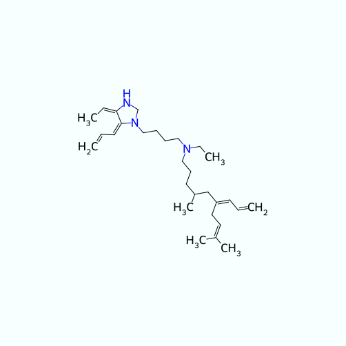 C=C/C=C(\CC=C(C)C)CC(C)CCCN(CC)CCCCN1CNC(=C/C)/C1=C\C=C